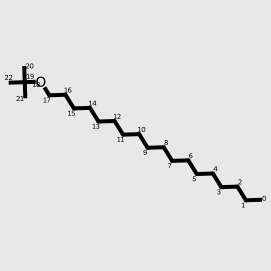 CCCCCCCCCCCCCCCCCCOC(C)(C)C